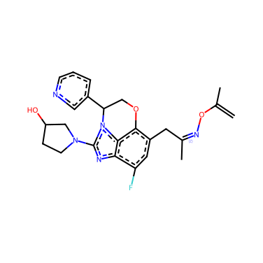 C=C(C)O/N=C(/C)Cc1cc(F)c2nc(N3CCC(O)C3)n3c2c1OCC3c1cccnc1